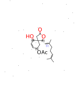 CC(=O)O[C@@H]1C=C[C@@H](O)C2(CC(=O)O[C@@H]2/C=C(\C)CCC=C(C)C)C1